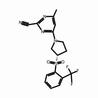 Cc1cc(N2CC[C@H](S(=O)(=O)c3ccccc3C(F)(F)F)C2)nc(C#N)n1